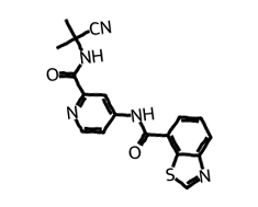 CC(C)(C#N)NC(=O)c1cc(NC(=O)c2cccc3ncsc23)ccn1